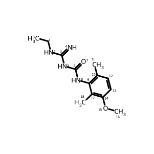 CCNC(=N)NC(=O)Nc1c(C)ccc(OC)c1C